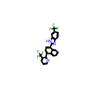 FC(F)(F)c1ccc2nc(-c3ccc(-c4ncccc4C(F)(F)F)c4ccccc34)[nH]c2c1